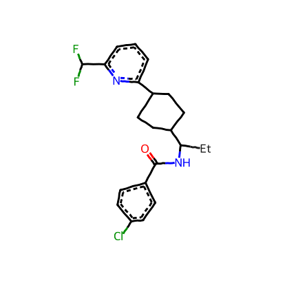 CCC(NC(=O)c1ccc(Cl)cc1)C1CCC(c2cccc(C(F)F)n2)CC1